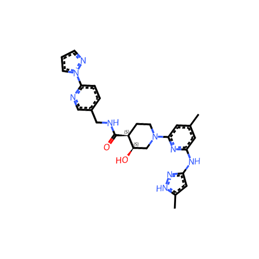 Cc1cc(Nc2cc(C)[nH]n2)nc(N2CC[C@H](C(=O)NCc3ccc(-n4cccn4)nc3)[C@H](O)C2)c1